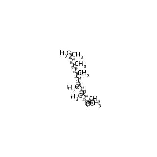 CC(C)=CCC/C(C)=C/CC/C(C)=C/CC/C=C(\C)CC/C=C(\C)CC[C@@H]1OC1(C)C